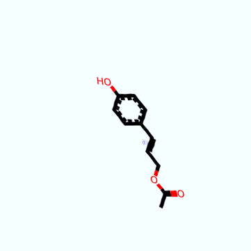 CC(=O)OC/C=C/c1ccc(O)cc1